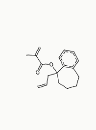 C=CCC1(OC(=O)C(=C)C)CCCCc2ccccc21